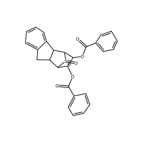 O=C(OC1C(OC(=O)c2ccccc2)C2C3c4ccccc4CC3C1S2(=O)=O)c1ccccc1